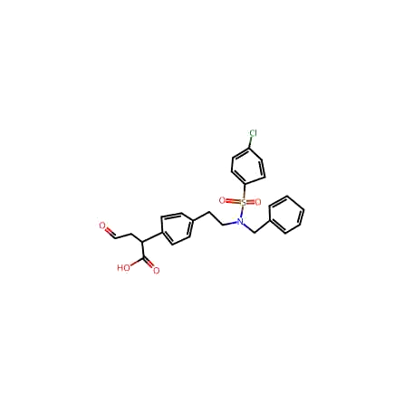 O=CCC(C(=O)O)c1ccc(CCN(Cc2ccccc2)S(=O)(=O)c2ccc(Cl)cc2)cc1